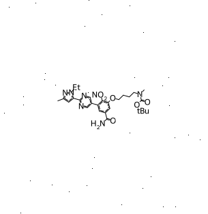 CCn1nc(C)cc1-c1ncc(-c2cc(C(N)=O)cc(OCCCCN(C)C(=O)OC(C)(C)C)c2[N+](=O)[O-])cn1